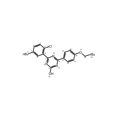 CCCCc1ccc(Cl)c(-c2nc(O)nc(-c3ccc(OCC(C)(C)C)cc3)n2)c1